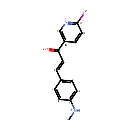 CNc1ccc(/C=C/C(=O)c2ccc(I)nc2)cc1